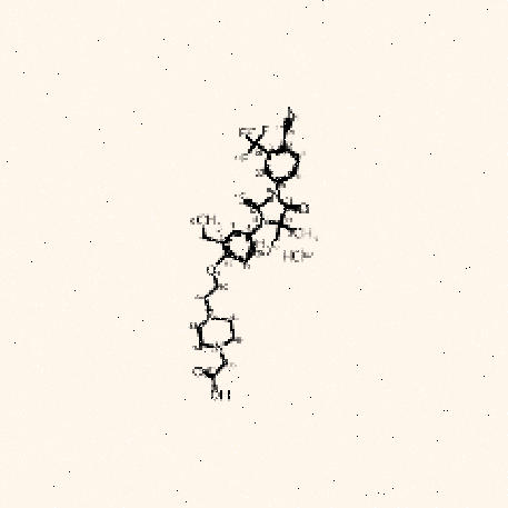 CCc1cc(N2C(=S)N(c3ccc(C#N)c(C(F)(F)F)c3)C(=O)C2(C)C)ccc1OCCN1CCN(CC(=O)O)CC1.Cl